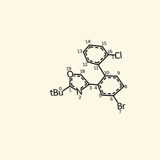 CC(C)(C)c1nc(-c2cc(Br)ccc2-c2ccccc2Cl)co1